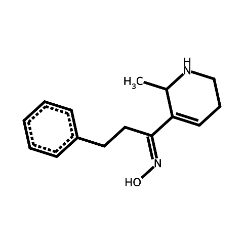 CC1NCCC=C1C(CCc1ccccc1)=NO